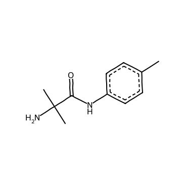 Cc1ccc(NC(=O)C(C)(C)N)cc1